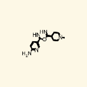 CN1CCC(C(=N)OC(=N)c2ccc(N)nc2)CC1